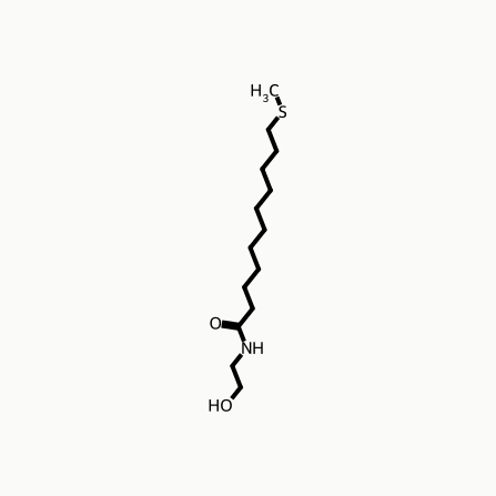 CSCCCCCCCCCCC(=O)NCCO